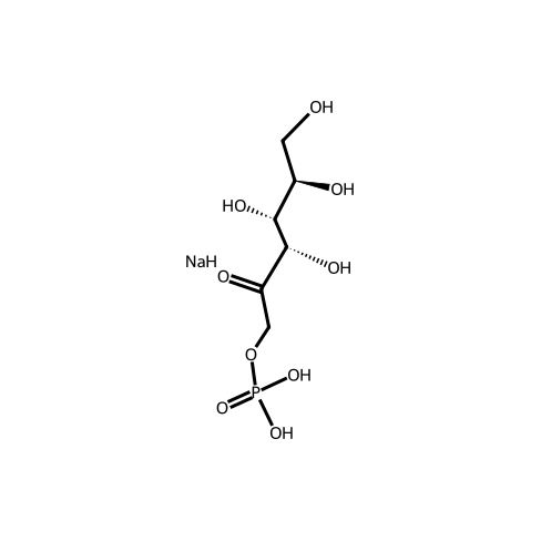 O=C(COP(=O)(O)O)[C@@H](O)[C@H](O)[C@H](O)CO.[NaH]